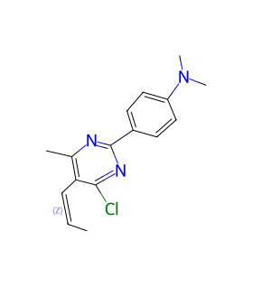 C/C=C\c1c(C)nc(-c2ccc(N(C)C)cc2)nc1Cl